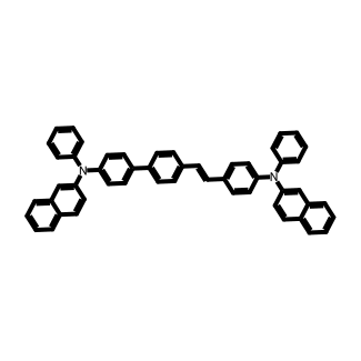 C(=Cc1ccc(N(c2ccccc2)c2ccc3ccccc3c2)cc1)c1ccc(-c2ccc(N(c3ccccc3)c3ccc4ccccc4c3)cc2)cc1